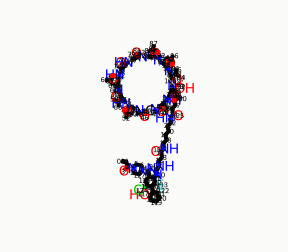 C=CC(=O)N1CCN(c2nc(NCCC(=O)NCCCCCCNC(=O)CCC[C@@H](C)[C@@H](O)C3C(=O)N[C@@H](CC)C(=O)N(C)CC(=O)N(C)[C@@H](CC(C)C)C(=O)N[C@@H](C(C)C)C(=O)N(C)[C@@H](CC(C)C)C(=O)N[C@@H](C)C(=O)N[C@H](C)C(=O)N(C)[C@@H](CC(C)C)C(=O)N(C)[C@@H](CC(C)C)C(=O)N(C)[C@@H](C(C)C)C(=O)N3C)nc3c(F)c(-c4c(O)cccc4F)c(Cl)cc23)CC1